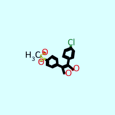 CS(=O)(=O)c1ccc(C2=C(c3ccc(Cl)cc3)C(=O)OC2)cc1